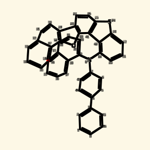 c1ccc(-c2ccc(N(c3cccc4ccccc34)c3cccc4sc5ccc6c7ccc8ccccc8c7oc6c5c34)cc2)cc1